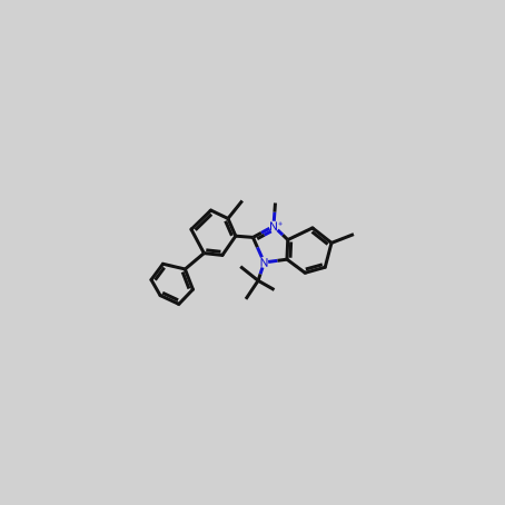 Cc1ccc2c(c1)[n+](C)c(-c1cc(-c3ccccc3)ccc1C)n2C(C)(C)C